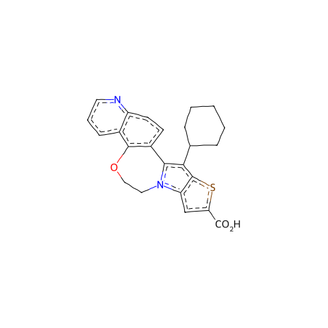 O=C(O)c1cc2c(s1)c(C1CCCCC1)c1n2CCOc2c-1ccc1ncccc21